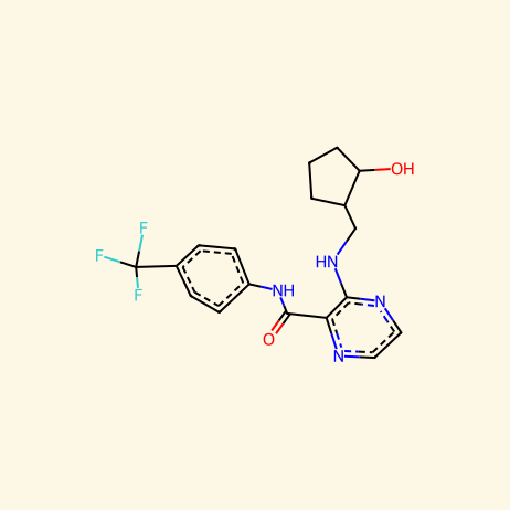 O=C(Nc1ccc(C(F)(F)F)cc1)c1nccnc1NCC1CCCC1O